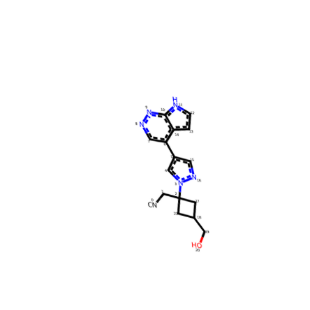 [C-]#[N+]CC1(n2cc(-c3cnnc4[nH]ccc34)cn2)CC(CO)C1